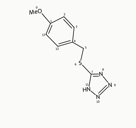 COc1ccc(CSc2nnn[nH]2)cc1